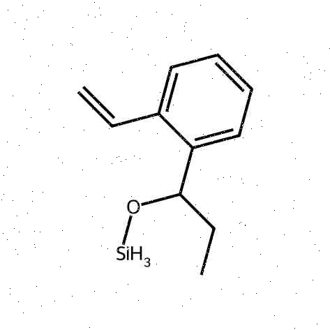 C=Cc1ccccc1C(CC)O[SiH3]